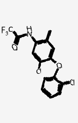 Cc1cc(Oc2ccccc2Cl)c(Cl)cc1NC(=O)C(F)(F)F